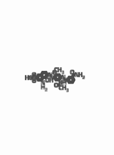 COc1cc(N=Nc2cccc(C(N)=O)c2)c(NC(C)=O)cc1N=Nc1ccc2cc(S(=O)(=O)O)cc(N)c2c1O